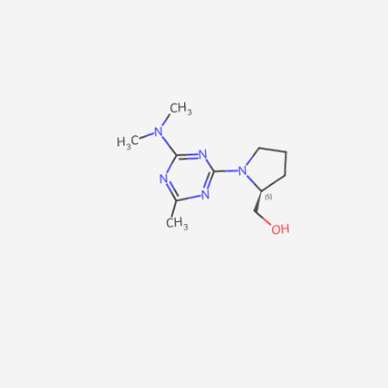 Cc1nc(N(C)C)nc(N2CCC[C@H]2CO)n1